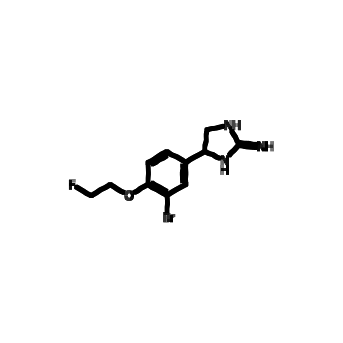 N=C1NCC(c2ccc(OCCF)c(Br)c2)N1